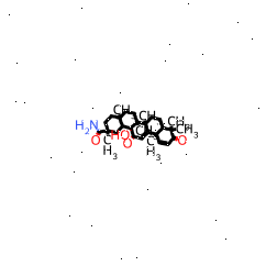 CC1(C(N)=O)CCC2(C)CCC3(C)C4(C)CCC5C(C)(C)C(=O)C=CC5(C)C4=CC(=O)C3(O)C2C1